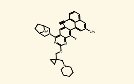 C#Cc1cccc2cc(O)cc(-c3c(F)cc4c(N5CC6CCC(C5)N6)nc(OCC5(CN6CCCCC6)CC5)nc4c3F)c12